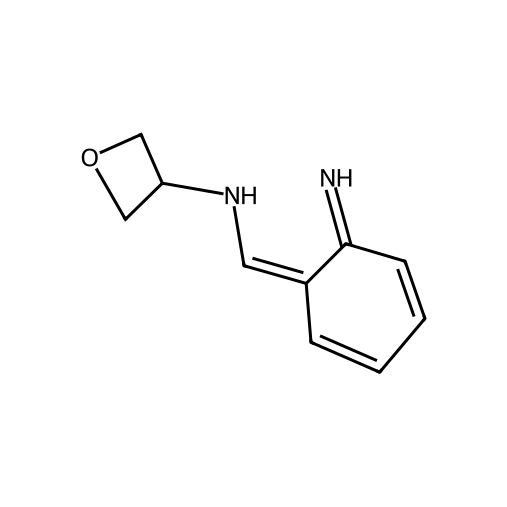 N=C1C=CC=C/C1=C/NC1COC1